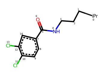 CC(C)CCCNC(=O)c1ccc(Cl)c(Cl)c1